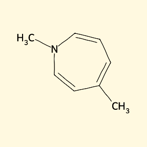 CC1=CC=CN(C)C=C1